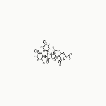 COc1nc(N(C)C)ncc1-c1cc2c(n1C(C)C)C(c1ccc(Cl)cc1)N(c1cc(Cl)ccc1C)C2=O